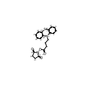 O=C(CCCN1c2ccccc2Sc2ccccc21)ON1C(=O)CCC1=O